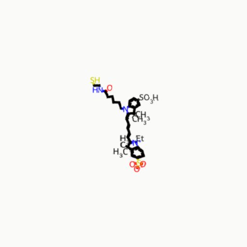 CC[N+]1=C(/C=C/C=C/C=C2/N(CCCCCC(=O)NCCS)c3ccc(S(=O)(=O)O)cc3C2(C)C)C(C)(C)c2cc(S(=O)(=O)[O-])ccc21